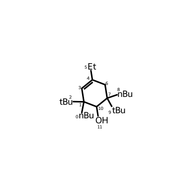 CCCCC1(C(C)(C)C)C=C(CC)CC(CCCC)(C(C)(C)C)C1O